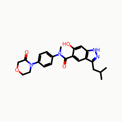 CC(C)Cc1n[nH]c2cc(O)c(C(=O)N(C)c3ccc(N4CCOCC4=O)cc3)cc12